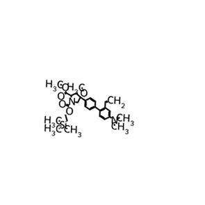 C=Cc1cc(N(C)C)ccc1-c1ccc(C2(OC)CC(C(=O)OC)N(C(=O)OCC[Si](C)(C)C)C2)cc1